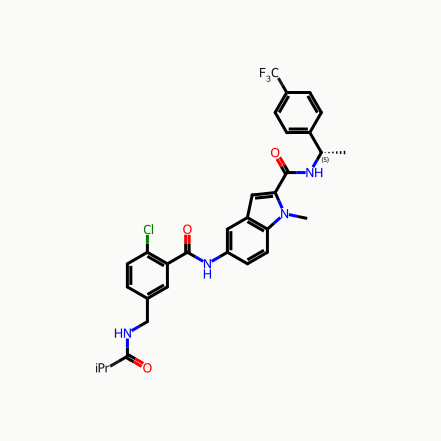 CC(C)C(=O)NCc1ccc(Cl)c(C(=O)Nc2ccc3c(c2)cc(C(=O)N[C@@H](C)c2ccc(C(F)(F)F)cc2)n3C)c1